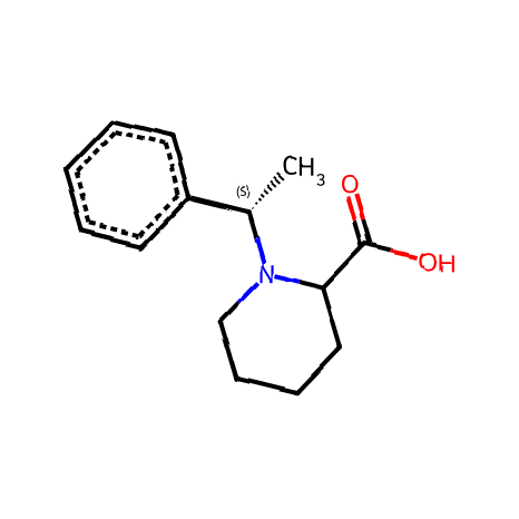 C[C@@H](c1ccccc1)N1CCCCC1C(=O)O